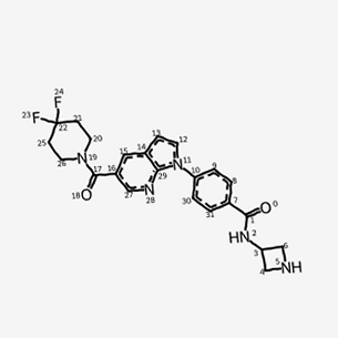 O=C(NC1CNC1)c1ccc(-n2ccc3cc(C(=O)N4CCC(F)(F)CC4)cnc32)cc1